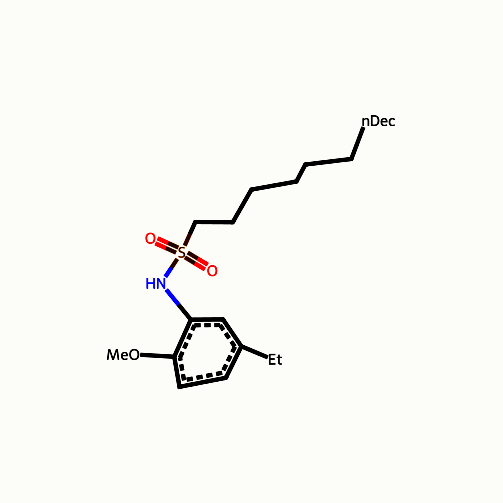 CCCCCCCCCCCCCCCCS(=O)(=O)Nc1cc(CC)ccc1OC